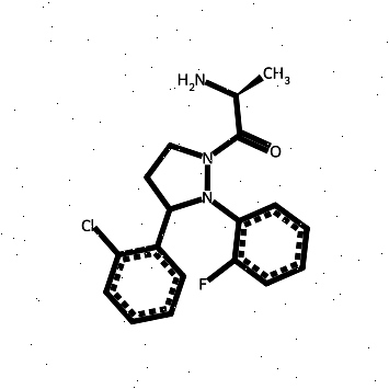 C[C@H](N)C(=O)N1CCC(c2ccccc2Cl)N1c1ccccc1F